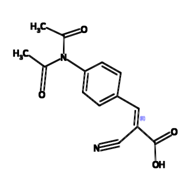 CC(=O)N(C(C)=O)c1ccc(/C=C(\C#N)C(=O)O)cc1